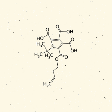 C=CCCOC(=O)c1c(C(=O)O)c(C(=O)O)c(C(=O)O)n1C(C)(C)C